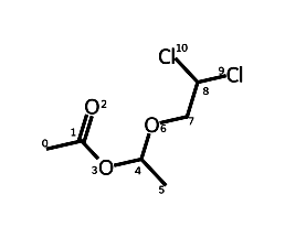 CC(=O)OC(C)OCC(Cl)Cl